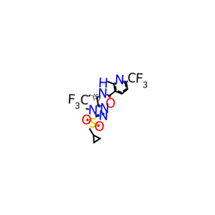 Cc1nc(C(F)(F)F)ccc1C(=O)N[C@@H](CC(F)(F)F)c1nnc(S(=O)(=O)CC2CC2)n1C